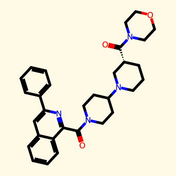 O=C(c1nc(-c2ccccc2)cc2ccccc12)N1CCC(N2CCC[C@@H](C(=O)N3CCOCC3)C2)CC1